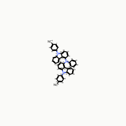 N#Cc1ccc(-n2c3ccccc3c3c(N(c4ccccc4)c4cccc5c4c4ccccc4n5-c4ccc(C#N)cc4)cccc32)cc1